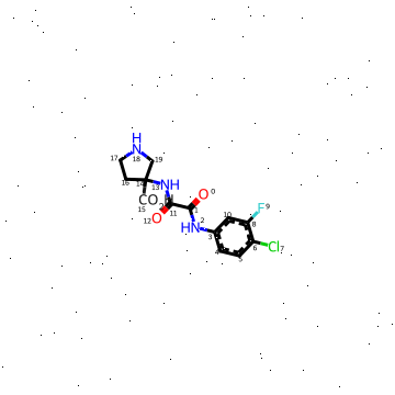 O=C(Nc1ccc(Cl)c(F)c1)C(=O)NC1(C(=O)O)CCNC1